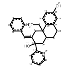 CCC12CC(=Cc3ccccc3)C(O)(c3ccccn3)CC1CCc1cc(O)ccc12